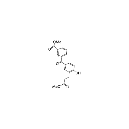 COC(=O)CCc1cc(C(=O)c2cccc(C(=O)OC)n2)ccc1O